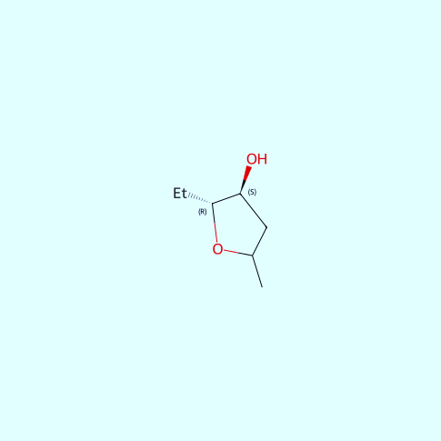 CC[C@H]1OC(C)C[C@@H]1O